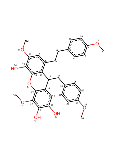 COc1ccc(CCc2cc(OC)c(O)c3c2C(Cc2ccc(OC)cc2)c2cc(O)c(O)c(OC)c2O3)cc1